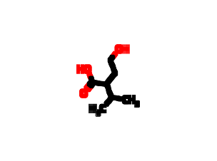 CC(C)C(CCO)C(=O)O